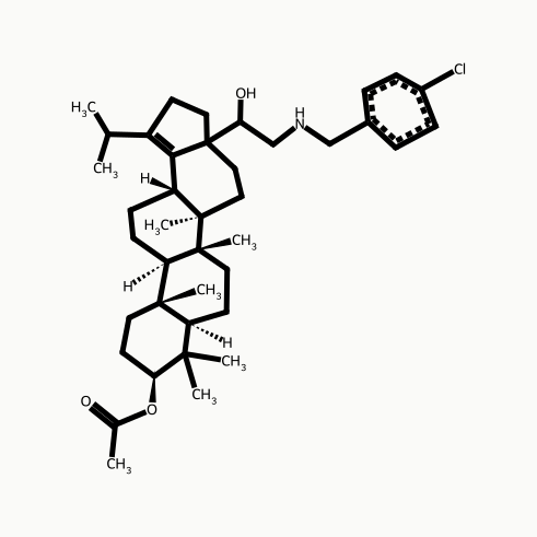 CC(=O)O[C@H]1CC[C@]2(C)[C@H]3CC[C@@H]4C5=C(C(C)C)CCC5(C(O)CNCc5ccc(Cl)cc5)CC[C@@]4(C)[C@]3(C)CC[C@H]2C1(C)C